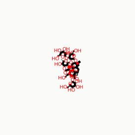 C=C1C[C@@]23CC[C@H]4[C@@](C)(CCC[C@@]4(C)C(=O)O[C@@H]4O[C@H](CO)[C@@H](O)[C@H](O)[C@H]4O)[C@@H]2CC[C@]1(O[C@@H]1O[C@H](CO)[C@@H](O)[C@H](O[C@@H]2O[C@H](CO)[C@@H](O)[C@H](O)[C@H]2O)[C@H]1O[C@@H]1O[C@@H](C)[C@H](O)[C@@H](O[C@@H]2O[C@H](CO)[C@@H](O)[C@H](O)[C@H]2O)[C@H]1O)C3